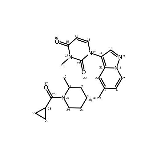 CC1C[C@H](Cc2ccn3ncc(-n4ccc(=O)n(C)c4=O)c3c2)CCN1C(=O)C1CC1